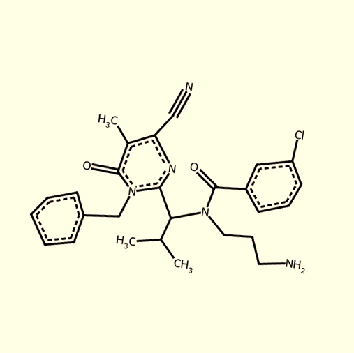 Cc1c(C#N)nc(C(C(C)C)N(CCCN)C(=O)c2cccc(Cl)c2)n(Cc2ccccc2)c1=O